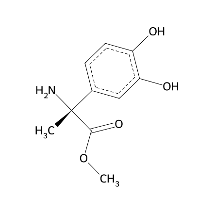 COC(=O)[C@](C)(N)c1ccc(O)c(O)c1